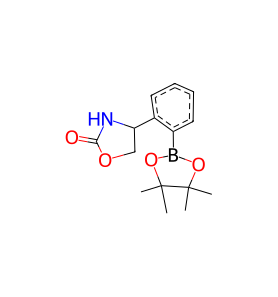 CC1(C)OB(c2ccccc2C2COC(=O)N2)OC1(C)C